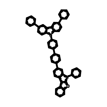 c1ccc(-c2ccc3c(c2)c2cc(-c4ccccc4)ccc2n3-c2ccc(-c3ccc(-c4ccc5c6c7ccccc7oc6n(-c6ccccc6)c5c4)cc3)cc2)cc1